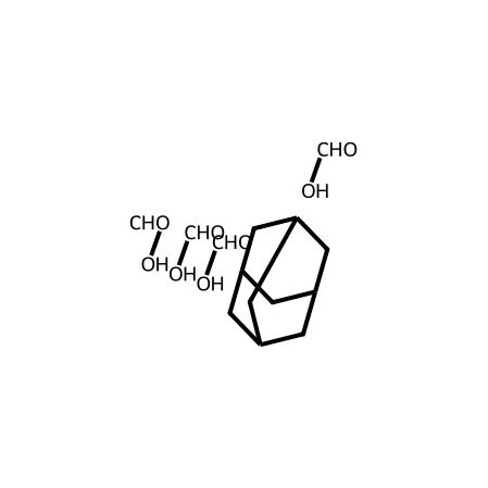 C1C2CC3CC1CC(C2)C3.O=CO.O=CO.O=CO.O=CO